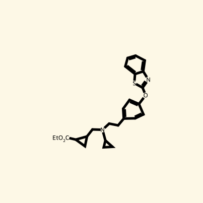 CCOC(=O)C1CC1CN(CCc1ccc(Oc2nc3ccccc3s2)cc1)C1CC1